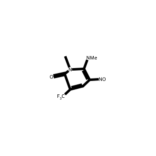 CNc1c(N=O)cc(C(F)(F)F)c(=O)n1C